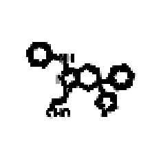 O=CC=Cn1nc(Nc2ccccc2)c2c1CC(c1ccccc1)(c1ccsc1)C=C2